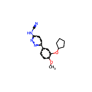 COc1ccc(-c2ccc(NC#N)nn2)cc1OC1CCCC1